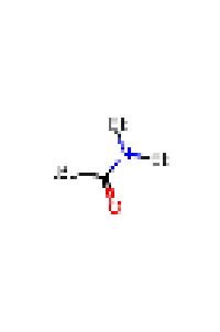 [CH2]CN(CC)C(=O)C(C)(C)C